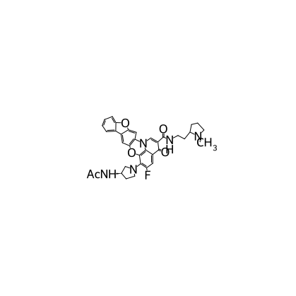 CC(=O)N[C@@H]1CCN(c2c(F)cc3c(=O)c(C(=O)NCCC4CCCN4C)cn4c3c2Oc2cc3c(cc2-4)oc2ccccc23)C1